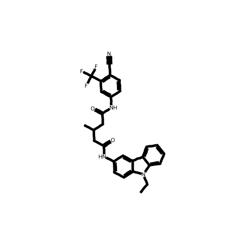 CCn1c2ccccc2c2cc(NC(=O)CC(C)CC(=O)Nc3ccc(C#N)c(C(F)(F)F)c3)ccc21